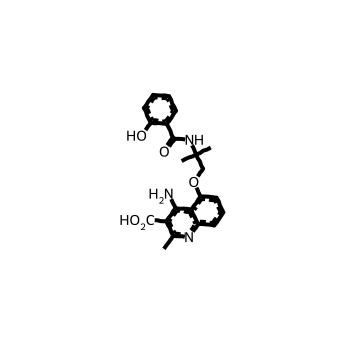 Cc1nc2cccc(OCC(C)(C)NC(=O)c3ccccc3O)c2c(N)c1C(=O)O